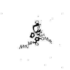 COCCNC(=O)c1ccc(Nc2ncc3c(n2)N(C2CCCC2)CCC(=O)N3C)c(OC)c1